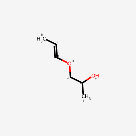 CC=COCC(C)O